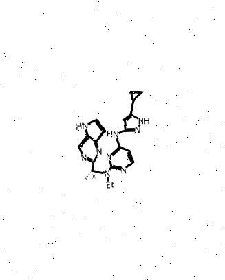 CCN(c1nccc(Nc2cc(C3CC3)[nH]n2)n1)[C@H](C)c1ncc2[nH]ccc2n1